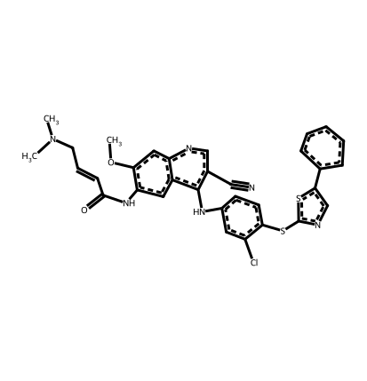 COc1cc2ncc(C#N)c(Nc3ccc(Sc4ncc(-c5ccccc5)s4)c(Cl)c3)c2cc1NC(=O)C=CCN(C)C